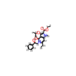 CCOC(=O)c1c(OC(C)C)c2c(=O)n(CC(=O)c3ccccc3)c(CC)cc2n1C